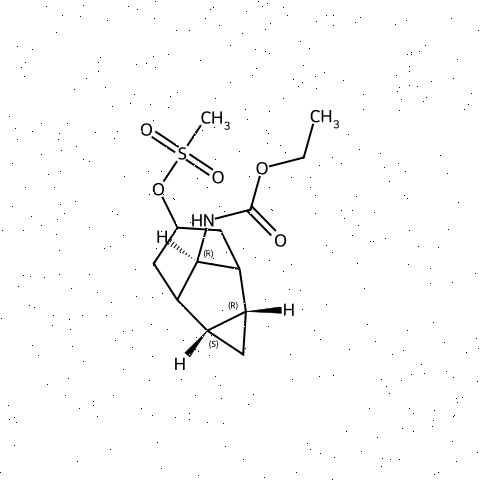 CCOC(=O)N[C@@H]1C2CC(OS(C)(=O)=O)CC1[C@@H]1C[C@H]21